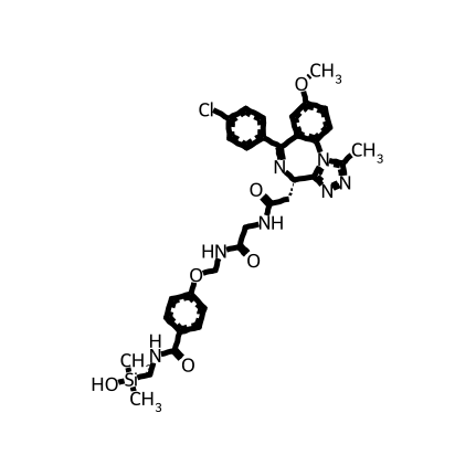 COc1ccc2c(c1)C(c1ccc(Cl)cc1)=N[C@@H](CC(=O)NCC(=O)NCOc1ccc(C(=O)NC[Si](C)(C)O)cc1)c1nnc(C)n1-2